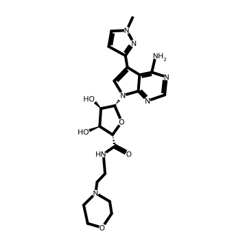 Cn1ccc(-c2cn([C@@H]3O[C@H](C(=O)NCCN4CCOCC4)[C@@H](O)[C@H]3O)c3ncnc(N)c23)n1